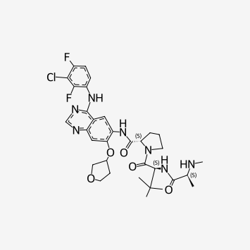 CN[C@@H](C)C(=O)N[C@H](C(=O)N1CCC[C@H]1C(=O)Nc1cc2c(Nc3ccc(F)c(Cl)c3F)ncnc2cc1OC1CCOC1)C(C)(C)C